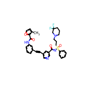 Cc1ccoc1C(=O)Nc1cccc(C#Cc2cncc(C(=O)N=[S@](=O)(CCCN3CCCC(F)(F)C3)c3ccccc3)c2)c1